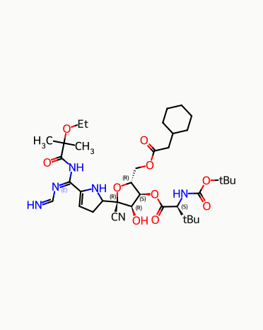 CCOC(C)(C)C(=O)N/C(=N/C=N)C1=CCC([C@]2(C#N)O[C@H](COC(=O)CC3CCCCC3)[C@@H](OC(=O)[C@@H](NC(=O)OC(C)(C)C)C(C)(C)C)[C@H]2O)N1